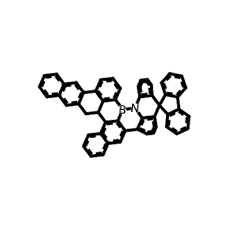 c1ccc2c(c1)-c1ccccc1C21c2ccccc2N2B3c4cccc5c4C(Cc4cc6ccccc6cc4-5)c4c3c(cc3ccccc43)-c3cccc1c32